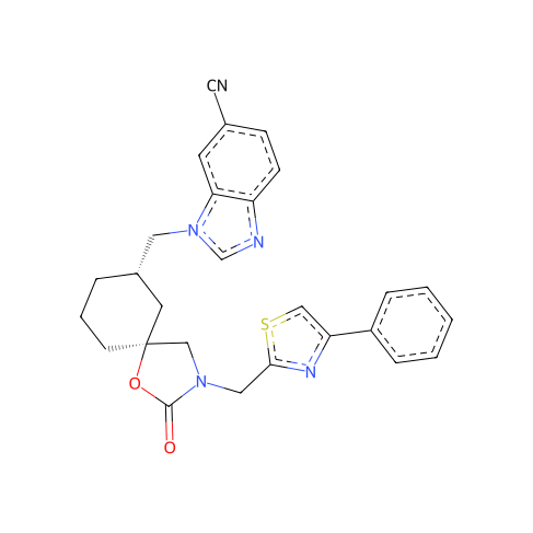 N#Cc1ccc2ncn(C[C@H]3CCC[C@]4(C3)CN(Cc3nc(-c5ccccc5)cs3)C(=O)O4)c2c1